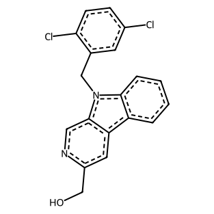 OCc1cc2c3ccccc3n(Cc3cc(Cl)ccc3Cl)c2cn1